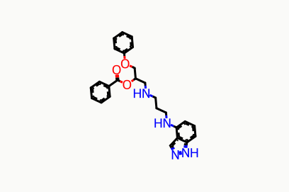 O=C(OC(CNCCCNc1cccc2[nH]ncc12)COc1ccccc1)c1ccccc1